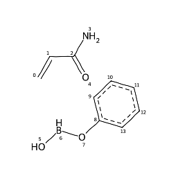 C=CC(N)=O.OBOc1ccccc1